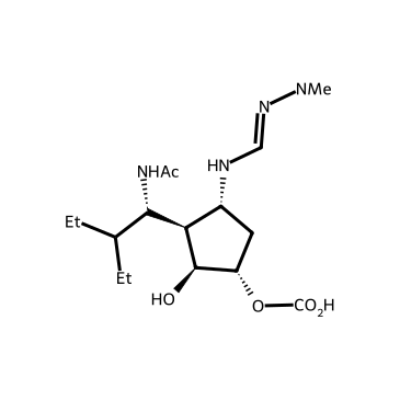 CCC(CC)[C@H](NC(C)=O)[C@@H]1[C@H](O)[C@@H](OC(=O)O)C[C@H]1NC=NNC